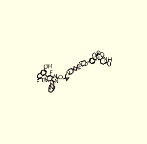 CCc1c(F)ccc2cc(O)cc(-c3ncc4c(N5CC6CCC(C5)N6)nc(OCC5(CN6CCC7(CC6)CC(F)(CN6CCN(c8ccc9c(c8)oc(=O)n9C8CCC(=O)NC8=O)CC6)C7)CC5)nc4c3F)c12